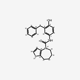 O=C(Nc1ccc(O)c(Cc2ccccc2)c1)N1CCCCc2sccc21